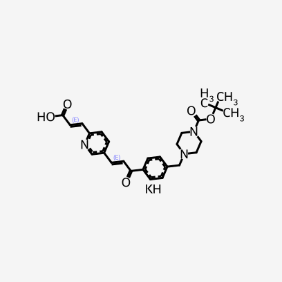 CC(C)(C)OC(=O)N1CCN(Cc2ccc(C(=O)/C=C/c3ccc(/C=C/C(=O)O)nc3)cc2)CC1.[KH]